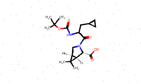 CC(C)(C)OC(=O)NC(CC1CC1)C(=O)N1C[C@H]2[C@@H]([C@H]1C(=O)O)C2(C)C